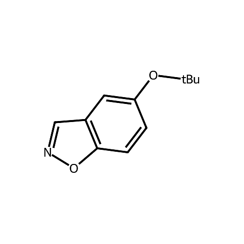 CC(C)(C)Oc1ccc2oncc2c1